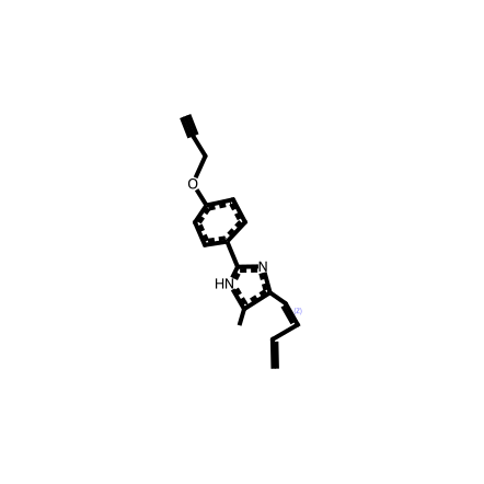 C#CCOc1ccc(-c2nc(/C=C\C=C)c(C)[nH]2)cc1